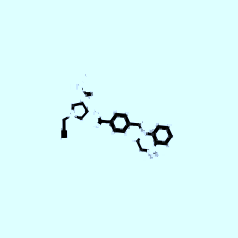 C#CCN1C[C@H](C(=O)NO)[C@H](NC(=O)c2ccc(CN3CCS(O)(O)c4ccccc43)cc2)C1